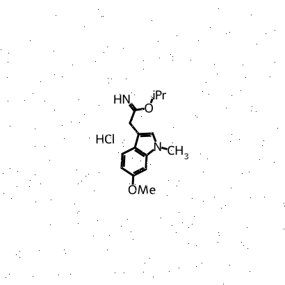 COc1ccc2c(CC(=N)OC(C)C)cn(C)c2c1.Cl